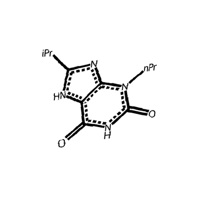 CCCn1c(=O)[nH]c(=O)c2[nH]c(C(C)C)nc21